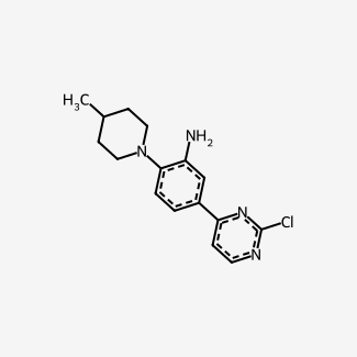 CC1CCN(c2ccc(-c3ccnc(Cl)n3)cc2N)CC1